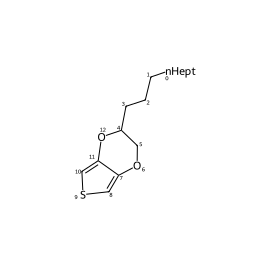 CCCCCCCCCCC1COc2cscc2O1